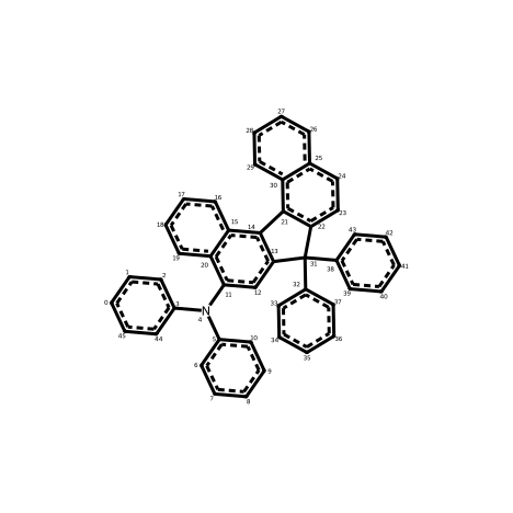 c1ccc(N(c2ccccc2)c2cc3c(c4ccccc24)-c2c(ccc4ccccc24)C3(c2ccccc2)c2ccccc2)cc1